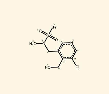 CC(C)S(=O)(=O)N(C)Cc1cncc(Cl)c1CO